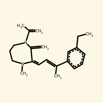 C=C(C)N1CCCN(C)/C(=C/C=C(\C)c2cccc(CC)c2)C1=C